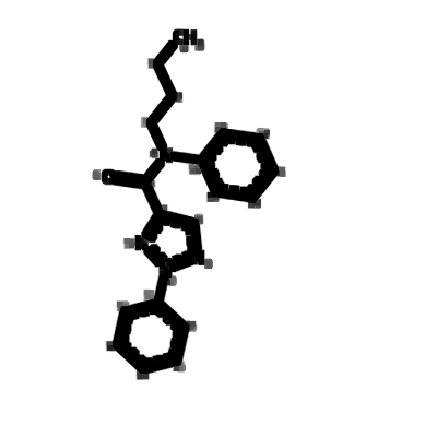 CCCCN(C(=O)c1cnn(-c2ccccc2)n1)c1ccccc1